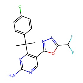 CC(C)(c1ccc(Cl)cc1)c1nc(N)ncc1-c1nnc(C(F)F)o1